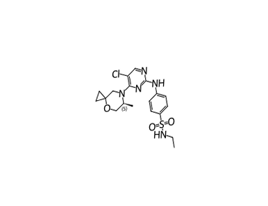 CCNS(=O)(=O)c1ccc(Nc2ncc(Cl)c(N3CC4(CC4)OC[C@@H]3C)n2)cc1